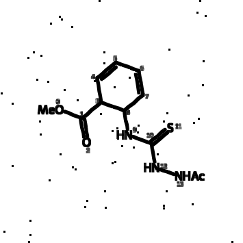 COC(=O)C1C=CC=CC1NC(=S)NNC(C)=O